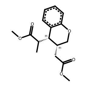 COC(=O)C[C@H]1COc2ccccc2[C@H]1C(C)C(=O)OC